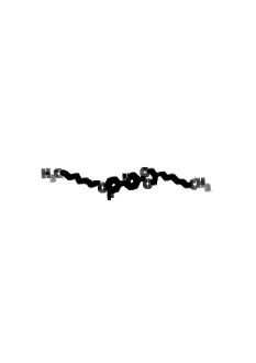 CCCCCCCCOc1ccc(-c2ccc([C@H]3OC[C@H](CCCCCCC)CO3)cn2)cc1F